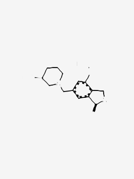 CSc1cc(CN2CCC[C@H](C)C2)cc2c1CNC2=O